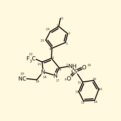 Cc1ccc(-c2c(NS(=O)(=O)c3ccccc3)nn(CC#N)c2C(F)(F)F)cc1